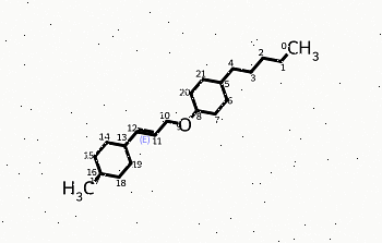 CCCCCC1CCC(OC/C=C/C2CCC(C)CC2)CC1